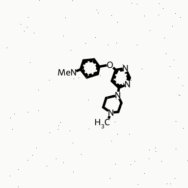 CNc1ccc(Oc2cc(N3CCN(C)CC3)ncn2)cc1